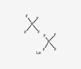 F[B-](F)(F)F.F[B-](F)(F)F.[La]